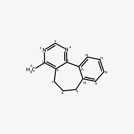 Cc1ncnc2c1CCCc1ccccc1-2